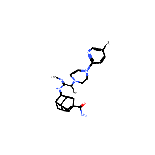 CCCC(/C(=N/C#N)NC1C2CC3CC1CC(C(N)=O)(C3)C2)N1CCN(c2ccc(C(F)(F)F)cn2)CC1